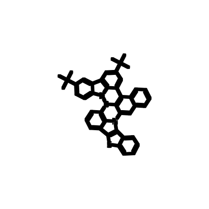 CC(C)(C)c1ccc2c(c1)c1cc(C(C)(C)C)cc3c1n2B1c2c(cc4ccccc4c2-3)-n2c3c1cccc3c1sc3ccccc3c12